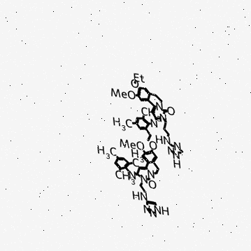 CCOc1cc2c(cc1OC)-c1c/c(=N\c3c(C)cc(C)cc3CCOc3cc4c(cc3OC)-c3c/c(=N\c5c(C)cc(C)cc5C)n(CCNc5c[nH]nn5)c(=O)n3CC4)n(CCCNc3nc[nH]n3)c(=O)n1CC2